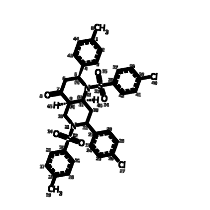 Cc1ccc([C@@H]2CC(=O)[C@@H]3CN(S(=O)(=O)c4ccc(C)cc4)C(c4ccc(Cl)cc4)C[C@@H]3N2S(=O)(=O)c2ccc(Cl)cc2)cc1